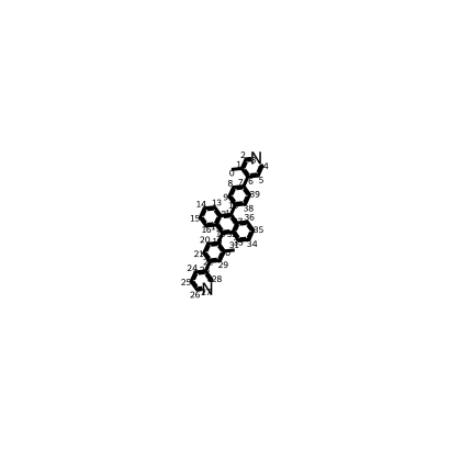 Cc1cnccc1-c1ccc(-c2c3ccccc3c(-c3ccc(-c4cccnc4)cc3C)c3ccccc23)cc1